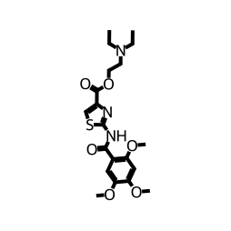 CCN(CC)CCOC(=O)c1csc(NC(=O)c2cc(OC)c(OC)cc2OC)n1